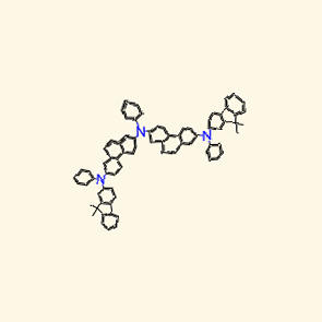 CC1(C)c2ccccc2-c2ccc(N(c3ccccc3)c3ccc4c(ccc5cc(N(c6ccccc6)c6ccc7c(ccc8cc(N(c9ccccc9)c9ccc%10c(c9)C(C)(C)c9ccccc9-%10)ccc87)c6)ccc54)c3)cc21